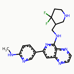 CNc1ccc(-c2cc3nccnc3c(NCC3CNCCC3(F)F)n2)cn1